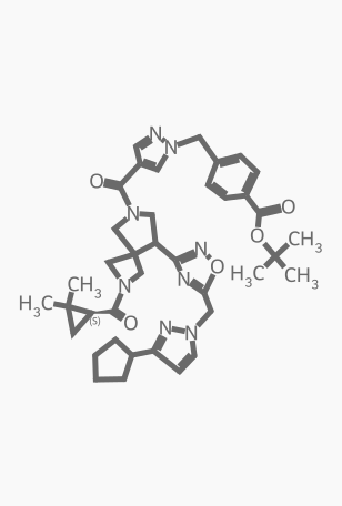 CC(C)(C)OC(=O)c1ccc(Cn2cc(C(=O)N3CC(c4noc(Cn5ccc(C6CCCC6)n5)n4)C4(C3)CN(C(=O)[C@H]3CC3(C)C)C4)cn2)cc1